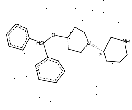 c1ccc([SiH](OC2CCN([C@H]3CCCNC3)CC2)c2ccccc2)cc1